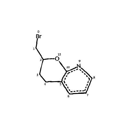 BrCC1CCc2cccnc2O1